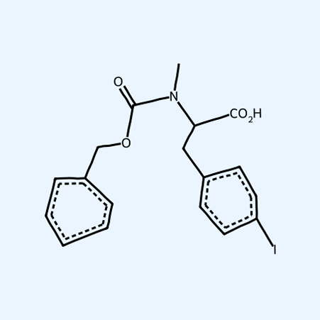 CN(C(=O)OCc1ccccc1)C(Cc1ccc(I)cc1)C(=O)O